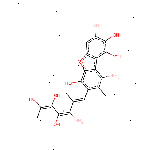 BC(/C(C)=C/c1c(C)c(B)c2c(oc3cc(B)c(O)c(O)c32)c1O)=C(O)/C(O)=C(\C)O